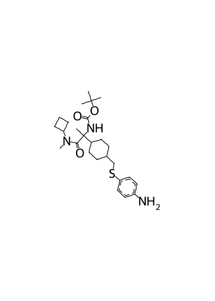 CN(C(=O)C(C)(NC(=O)OC(C)(C)C)C1CCC(CSc2ccc(N)cc2)CC1)C1CCC1